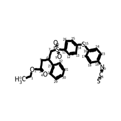 CCOC(=O)CC(CS(=O)(=O)c1ccc(Sc2ccc(N=C=S)cc2)cc1)c1ccccc1